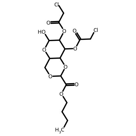 CCCCOC(=O)C1OCC2OC(O)C(OC(=O)CCl)C(OC(=O)CCl)C2O1